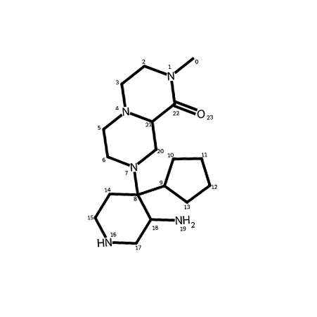 CN1CCN2CCN(C3(C4CCCC4)CCNCC3N)CC2C1=O